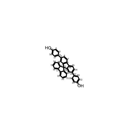 Oc1ccc(-c2ccc3c(c2)C2(c4ccccc4-c4ccccc42)c2cc(-c4ccc(O)cc4)ccc2-3)cc1